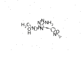 C=CC(O)N1CC[C@H](n2nc(C#Cc3ccc4oc(C5CC5)nc4c3)c3c(N)ncnc32)C1